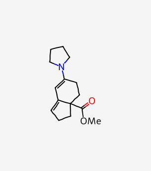 COC(=O)C12CCC=C1C=C(N1CCCC1)CC2